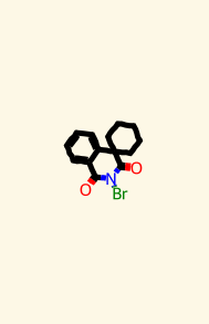 O=C1c2ccccc2C2(CCCCC2)C(=O)N1Br